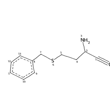 C#CC(N)CCSCc1ccccc1